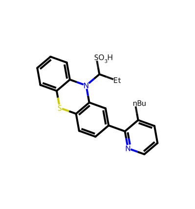 CCCCc1cccnc1-c1ccc2c(c1)N(C(CC)S(=O)(=O)O)c1ccccc1S2